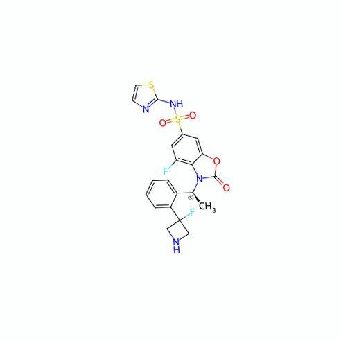 C[C@@H](c1ccccc1C1(F)CNC1)n1c(=O)oc2cc(S(=O)(=O)Nc3nccs3)cc(F)c21